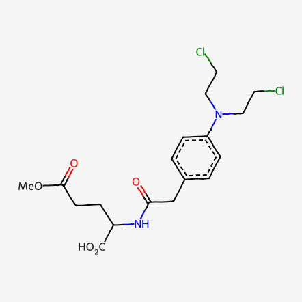 COC(=O)CCC(NC(=O)Cc1ccc(N(CCCl)CCCl)cc1)C(=O)O